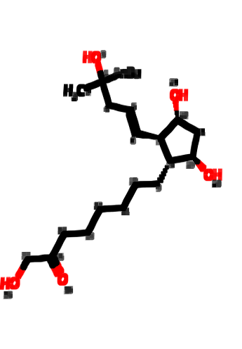 CCCCC(C)(O)C/C=C/[C@@H]1[C@@H](CCCCCCC(=O)CO)[C@H](O)C[C@H]1O